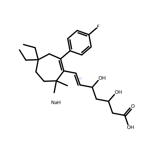 CCC1(CC)CCC(C)(C)C(/C=C/C(O)CC(O)CC(=O)O)=C(c2ccc(F)cc2)C1.[NaH]